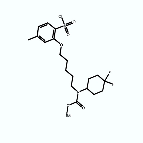 Cc1ccc(S(=O)(=O)Cl)c(OCCCCCN(C(=O)OC(C)(C)C)C2CCC(F)(F)CC2)c1